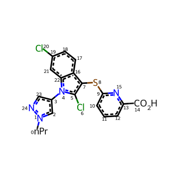 CCCn1cc(-n2c(Cl)c(Sc3cccc(C(=O)O)n3)c3ccc(Cl)cc32)cn1